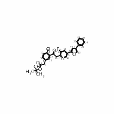 CC(C)(C)OC(=O)Cc1ccc(Cl)c(C(=O)Cc2ncc(-c3cc(-c4ccccc4)co3)cc2F)c1